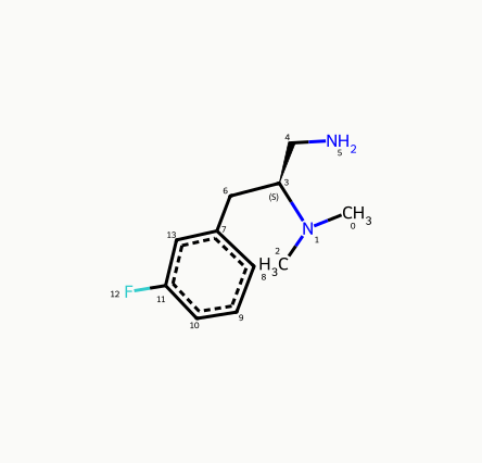 CN(C)[C@H](CN)Cc1cccc(F)c1